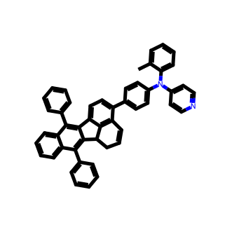 Cc1ccccc1N(c1ccncc1)c1ccc(-c2ccc3c4c2C=CCC4c2c-3c(-c3ccccc3)c3ccccc3c2-c2ccccc2)cc1